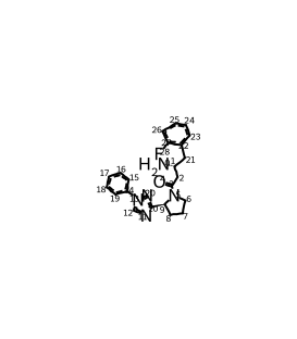 N[C@@H](CC(=O)N1CCC[C@H]1c1ncn(-c2ccccc2)n1)Cc1ccccc1F